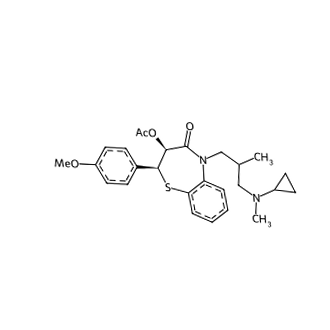 COc1ccc([C@@H]2Sc3ccccc3N(CC(C)CN(C)C3CC3)C(=O)[C@@H]2OC(C)=O)cc1